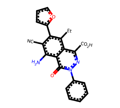 CCc1c(-c2ccco2)c(C#N)c(N)c2c(=O)n(-c3ccccc3)nc(C(=O)O)c12